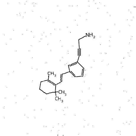 CC1=C(/C=C/c2cccc(C#CCN)c2)C(C)(C)CCC1